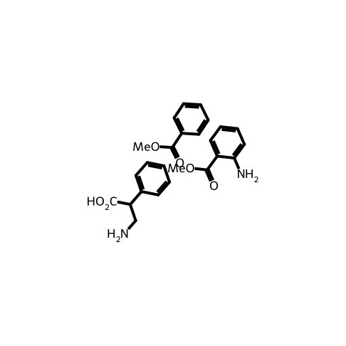 COC(=O)c1ccccc1.COC(=O)c1ccccc1N.NCC(C(=O)O)c1ccccc1